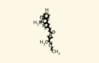 CCCON=C(C)C1CN(C(=O)C=Cc2cnc3c(c2)CC2(CCNCC2)C(=O)N3C)C1